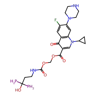 O=C(NCCC(O)(P)P)OCOC(=O)c1cn(C2CC2)c2cc(N3CCNCC3)c(F)cc2c1=O